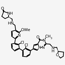 COc1nc(-c2cccc(-c3cccc(-c4cc5c(=O)n(C)c(CNC[C@H]6CCCO6)nn5c4)c3Cl)c2Cl)ccc1CNC[C@H]1CCC(=O)N1